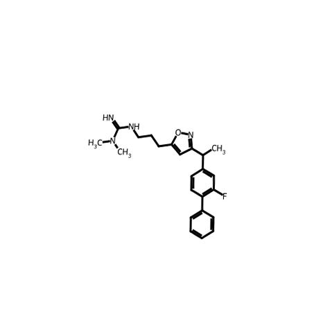 CC(c1ccc(-c2ccccc2)c(F)c1)c1cc(CCCNC(=N)N(C)C)on1